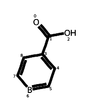 O=C(O)c1ccbcc1